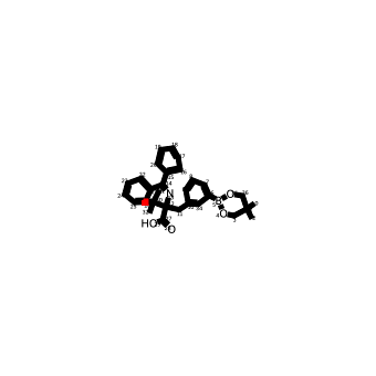 CC1(C)COB(c2cccc(CC(N=C(c3ccccc3)c3ccccc3)(C(=O)O)C(C)(C)C)c2)OC1